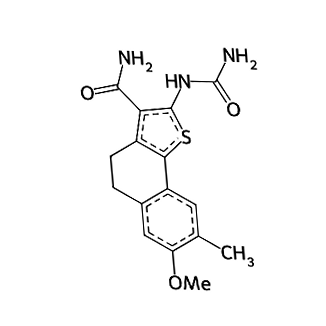 COc1cc2c(cc1C)-c1sc(NC(N)=O)c(C(N)=O)c1CC2